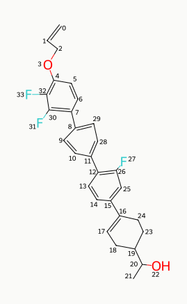 C=CCOc1ccc(-c2ccc(-c3ccc(C4=CCC(C(C)O)CC4)cc3F)cc2)c(F)c1F